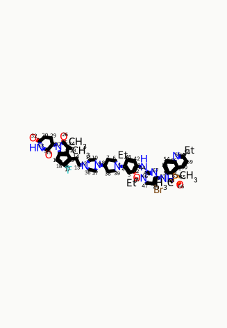 CCOc1cc(N2CCC(N3CCN(CCc4c(F)ccc5c4C(C)(C)C(=O)N5C4CCC(=O)NC4=O)CC3)CC2)c(CC)cc1Nc1ncc(Br)c(Nc2ccc3nc(CC)ccc3c2P(C)(C)=O)n1